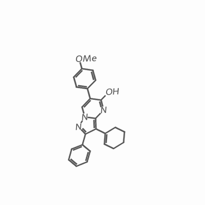 COc1ccc(-c2cn3nc(-c4ccccc4)c(C4=CCCCC4)c3nc2O)cc1